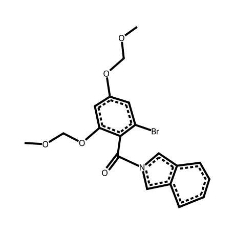 COCOc1cc(Br)c(C(=O)n2cc3ccccc3c2)c(OCOC)c1